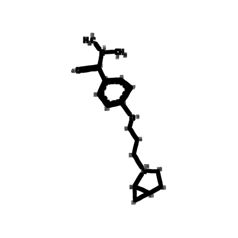 CN(C)C(=O)c1ccc(OCCCN2CCC3CC32)cc1